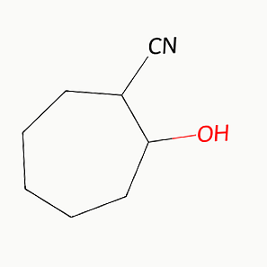 N#CC1CCCCCC1O